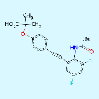 CC(C)(C)C(=O)Nc1c(F)cc(F)cc1C#Cc1ccc(OC(C)(C)C(=O)O)cc1